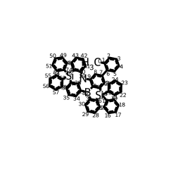 Cc1ccccc1-c1cc2c3c(c1)[Si](c1ccccc1)(c1ccccc1)c1ccccc1B3c1cccc3c1N2c1ccccc1[Si]3(c1ccccc1)c1ccccc1